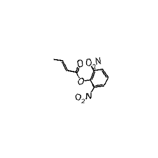 CC=CC(=O)Oc1c([N+](=O)[O-])cccc1[N+](=O)[O-]